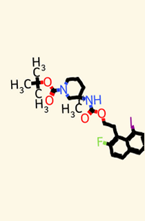 CC(C)(C)OC(=O)N1CCC[C@@](C)(NC(=O)OCCc2c(F)ccc3cccc(I)c23)C1